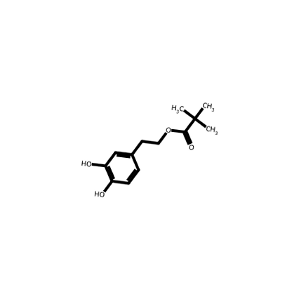 CC(C)(C)C(=O)OCCc1ccc(O)c(O)c1